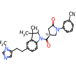 Cn1cncc1CCc1ccc2c(c1)C(C)(C)CN2C(=O)[C@H]1CC(=O)N(c2cccc(C#N)c2)C1